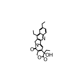 CCc1ccc2nc3c(c(CC)c2c1)Cn1c-3cc2c(c1=O)COC(=O)C2(O)CC